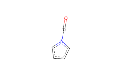 [O]=[Ti][n]1cccc1